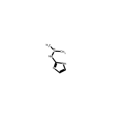 C[SH](C)Nc1ncc[nH]1